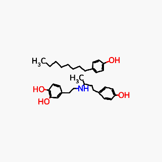 CC(CCc1ccc(O)cc1)NCCc1ccc(O)c(O)c1.CCCCCCCCc1ccc(O)cc1